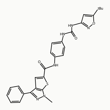 Cn1nc(-c2ccccc2)c2cc(C(=O)Nc3ccc(NC(=O)Nc4cc(C(C)(C)C)on4)cc3)sc21